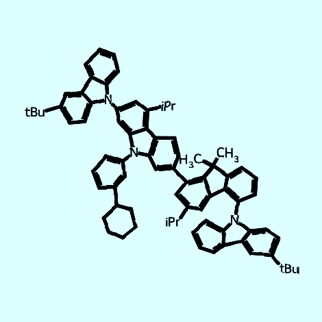 CC(C)c1cc(-c2ccc3c4c(C(C)C)cc(-n5c6ccccc6c6cc(C(C)(C)C)ccc65)cc4n(-c4cccc(C5CCCCC5)c4)c3c2)c2c(c1)-c1c(-n3c4ccccc4c4cc(C(C)(C)C)ccc43)cccc1C2(C)C